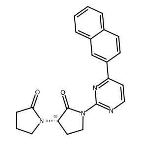 O=C1[C@@H](N2CCCC2=O)CCN1c1nccc(-c2ccc3ccccc3c2)n1